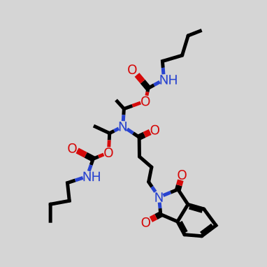 CCCCNC(=O)OC(C)N(C(=O)CCCN1C(=O)c2ccccc2C1=O)C(C)OC(=O)NCCCC